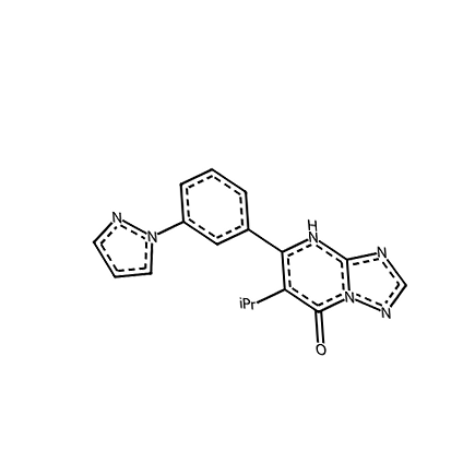 CC(C)c1c(-c2cccc(-n3cccn3)c2)[nH]c2ncnn2c1=O